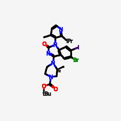 Cc1ccnc(C(C)C)c1-n1c(=O)nc(N2CCN(C(=O)OC(C)(C)C)C[C@@H]2C)c2cc(Br)c(I)cc21